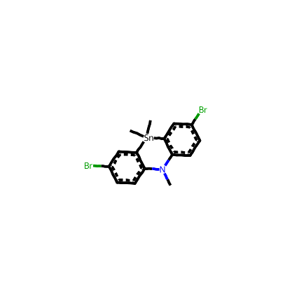 CN1c2ccc(Br)c[c]2[Sn]([CH3])([CH3])[c]2cc(Br)ccc21